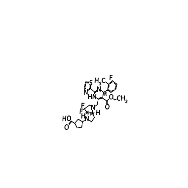 CCOC(=O)C1=C(CN2CC(F)(F)[C@H]3[C@@H]2CCN3C2CCC(C(=O)O)C2)NC(c2nccs2)=N[C@H]1c1cccc(F)c1C